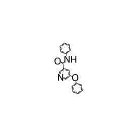 O=C(Nc1ccccc1)c1cncc(Oc2ccccc2)c1